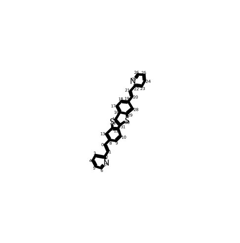 C(=C\c1ccccn1)/c1ccc2c(c1)sc1c3ccc(/C=C/c4ccccn4)cc3sc21